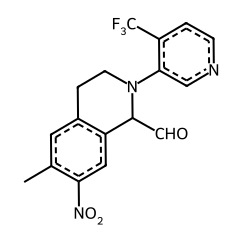 Cc1cc2c(cc1[N+](=O)[O-])C(C=O)N(c1cnccc1C(F)(F)F)CC2